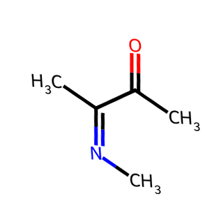 C/N=C(/C)C(C)=O